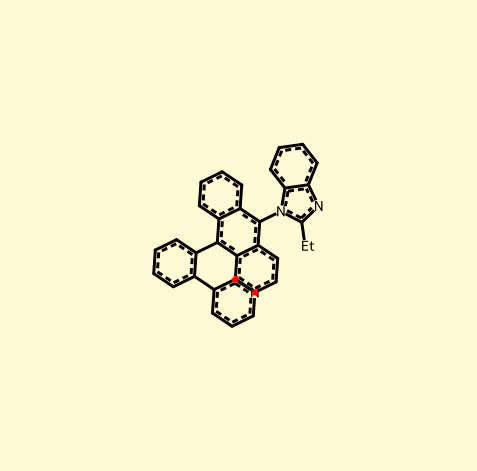 CCc1nc2ccccc2n1-c1c2ccccc2c(-c2ccccc2-c2cccnc2)c2ccccc12